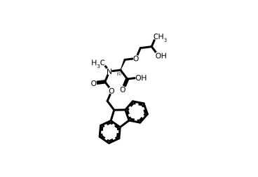 CC(O)COC[C@@H](C(=O)O)N(C)C(=O)OCC1c2ccccc2-c2ccccc21